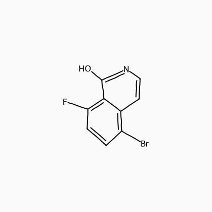 Oc1nccc2c(Br)ccc(F)c12